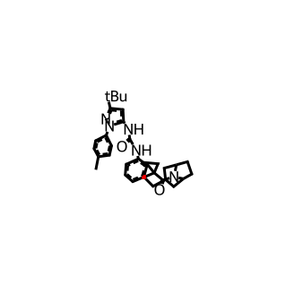 Cc1ccc(-n2nc(C(C)(C)C)cc2NC(=O)Nc2cccc(CC3CC4CCC(C3)N4C(=O)C3(C)CC3)c2)cc1